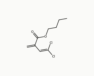 C=C(C=C(Cl)Cl)C(=O)OCCCC